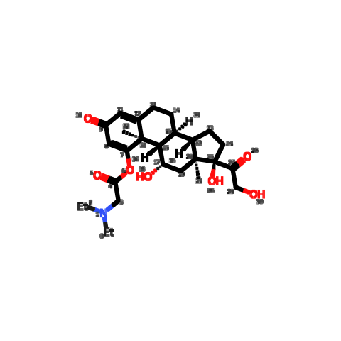 CCN(CC)CC(=O)OC1=CC(=O)C=C2CC[C@@H]3[C@H]([C@@H](O)C[C@@]4(C)[C@H]3CC[C@]4(O)C(=O)CO)[C@]21C